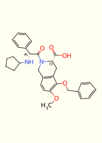 COc1ccc2c(c1OCc1ccccc1)C[C@@H](C(=O)O)N(C(=O)[C@H](NC1CCCC1)c1ccccc1)C2